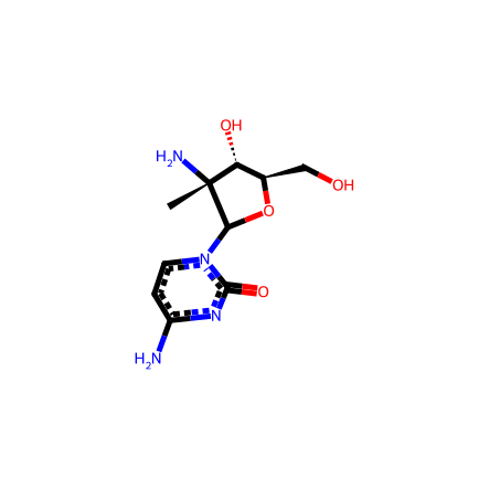 C[C@]1(N)C(n2ccc(N)nc2=O)O[C@H](CO)[C@H]1O